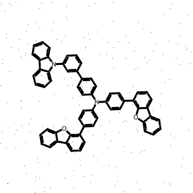 c1cc(-c2ccc(N(c3ccc(-c4cccc5c4oc4ccccc45)cc3)c3ccc(-c4cccc5c4oc4ccccc45)cc3)cc2)cc(-n2c3ccccc3c3ccccc32)c1